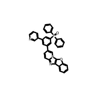 O=P(c1ccccc1)(c1ccccc1)c1cc(-c2cccnc2)cc(-c2ccc3nc4c5ccccc5oc4n3c2)c1